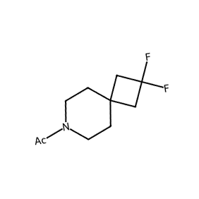 CC(=O)N1CCC2(CC1)CC(F)(F)C2